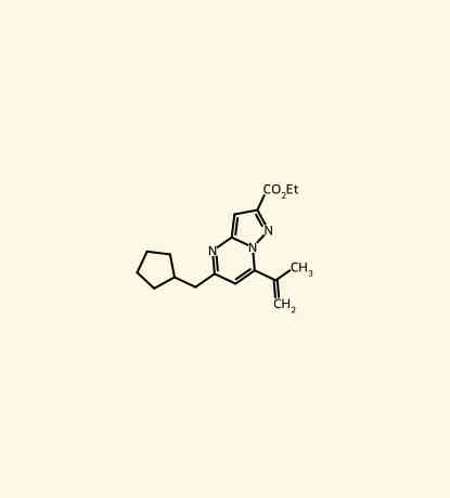 C=C(C)c1cc(CC2CCCC2)nc2cc(C(=O)OCC)nn12